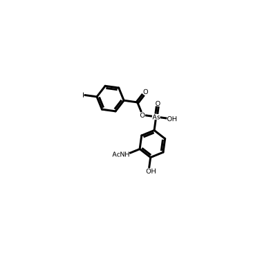 CC(=O)Nc1cc([As](=O)(O)OC(=O)c2ccc(I)cc2)ccc1O